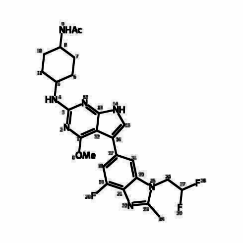 COc1nc(NC2CCC(NC(C)=O)CC2)nc2[nH]cc(-c3cc(F)c4nc(C)n(CC(F)F)c4c3)c12